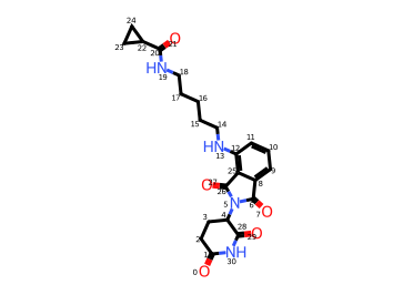 O=C1CCC(N2C(=O)c3cccc(NCCCCCNC(=O)C4CC4)c3C2=O)C(=O)N1